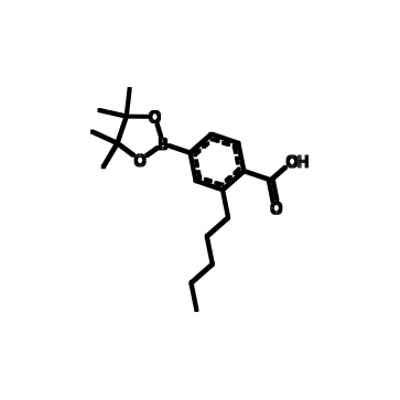 CCCCCc1cc(B2OC(C)(C)C(C)(C)O2)ccc1C(=O)O